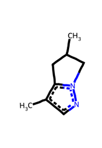 Cc1cnn2c1CC(C)C2